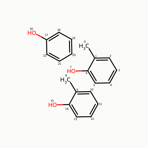 Cc1ccccc1O.Cc1ccccc1O.Oc1ccccc1